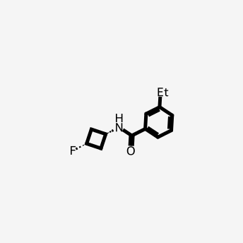 CCc1cccc(C(=O)N[C@H]2C[C@@H](F)C2)c1